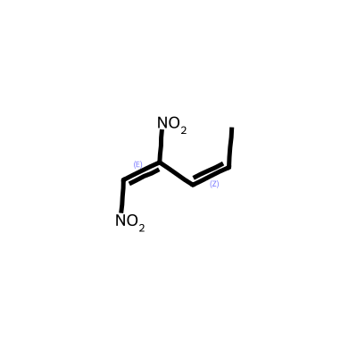 C/C=C\C(=C/[N+](=O)[O-])[N+](=O)[O-]